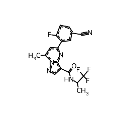 Cc1cc(-c2cc(C#N)ccc2F)nc2c(C(=O)NC(C)C(F)(F)F)cnn12